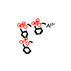 CCOP(=O)([O-])Cc1ccccc1.CCOP(=O)([O-])Cc1ccccc1.CCOP(=O)([O-])Cc1ccccc1.[Al+3]